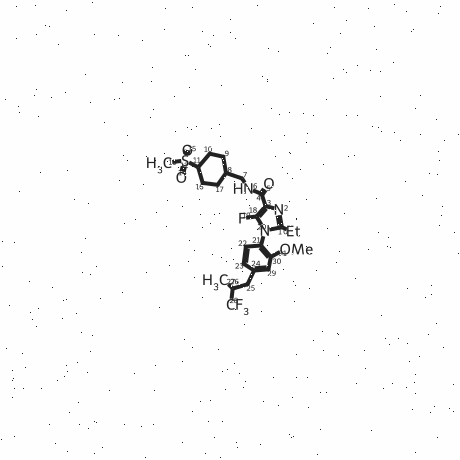 CCc1nc(C(=O)NCC2CCC(S(C)(=O)=O)CC2)c(F)n1-c1ccc(CC(C)C(F)(F)F)cc1OC